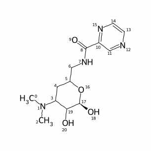 CN(C)C1CC(CNC(=O)c2cnccn2)O[C@@H](O)C1O